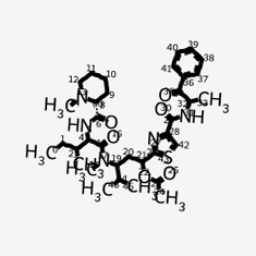 CCC(C)C(NC(=O)[C@H]1CCCCN1C)C(=O)N(C)C(CC(OC(C)=O)c1nc(C(=O)NC(C)C(=O)c2ccccc2)cs1)C(C)C